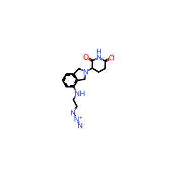 [N-]=[N+]=NCCNc1cccc2c1CN(C1CCC(=O)NC1=O)C2